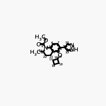 COC(=O)N1c2ccc(-c3cn[nH]c3)c(OC3CCC3)c2CCC1C